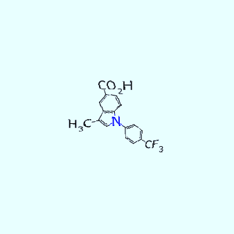 Cc1cn(-c2ccc(C(F)(F)F)cc2)c2ccc(C(=O)O)cc12